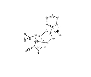 CN(C)[C@]1(c2ccccc2)CC[C@]2(CC1)CNC(=O)N2CC1CC1